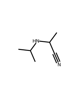 CC(C)NC(C)C#N